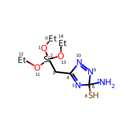 CCO[Si](CC1=NC(N)(S)N=N1)(OCC)OCC